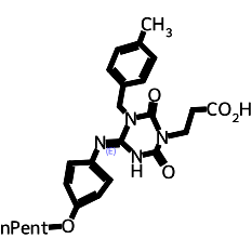 CCCCCOc1ccc(/N=c2\[nH]c(=O)n(CCC(=O)O)c(=O)n2Cc2ccc(C)cc2)cc1